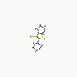 Brc1c(-c2ccccn2)sc2ccccc12